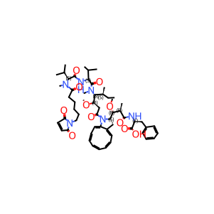 CC[C@H](C)[C@@H]([C@@H](CC(=O)N1c2ccccccccc2C[C@H]1[C@H](OC)[C@@H](C)C(=O)N[C@@H](Cc1ccccc1)C(=O)O)OC)N(C)C(=O)[C@@H](NC(=O)[C@H](C(C)C)N(C)C(=O)CCCCCN1C(=O)C=CC1=O)C(C)C